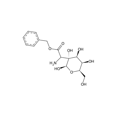 NC(C(=O)OCc1ccccc1)[C@]1(O)[C@H](O)O[C@H](CO)[C@H](O)[C@@H]1O